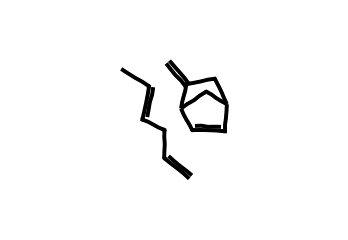 C=C1CC2C=CC1C2.C=CC/C=C/C